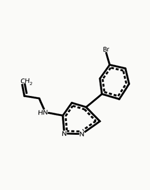 C=CCNc1cc(-c2cccc(Br)c2)cnn1